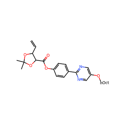 C=CC1OC(C)(C)OC1C(=O)Oc1ccc(-c2ncc(OCCCCCCCC)cn2)cc1